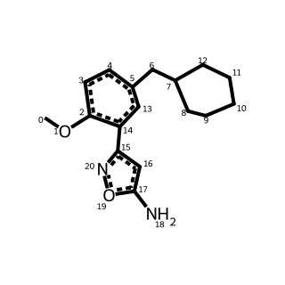 COc1ccc(CC2CCCCC2)cc1-c1cc(N)on1